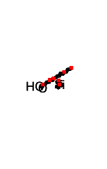 CCCCCCCCCCCCCCCCCC(=O)O.C[CH](C)[Ti]([CH](C)C)[CH](C)C